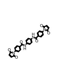 O=C(Nc1ccc(NC(=O)c2ccc(N3C(=O)C=CC3=O)cc2)cc1)c1ccc(N2C(=O)C=CC2=O)cc1